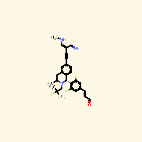 CN/C=C(/C#Cc1ccc2c(c1)CC(C)N(CC(C)(C)F)[C@H]2c1c(F)cc(/C=C/C=O)cc1F)C=N